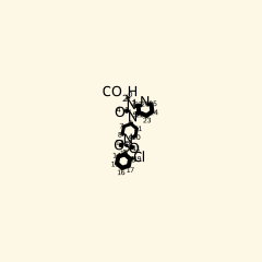 O=C(O)Cn1c(=O)n(C2CCN(S(=O)(=O)c3ccccc3Cl)CC2)c2cccnc21